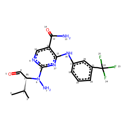 CC(C)[C@H](C=O)N(N)c1ncc(C(N)=O)c(Nc2cccc(C(F)(F)F)c2)n1